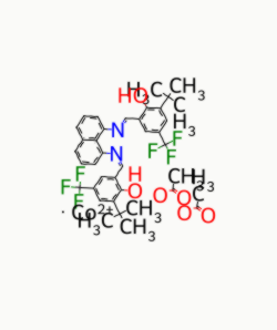 CC(=O)[O-].CC(=O)[O-].CC(C)(C)c1cc(C(F)(F)F)cc(C=Nc2cccc3cccc(N=Cc4cc(C(F)(F)F)cc(C(C)(C)C)c4O)c23)c1O.[Co+2]